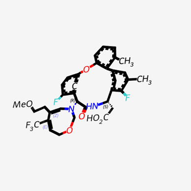 COCCC1=C/N([C@H]2C(=O)N[C@@H](CC(=O)O)c3cc(cc(C)c3F)-c3c(C)cccc3Oc3ccc(F)c2c3)COC/C=C\1C(F)(F)F